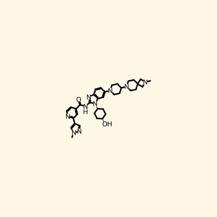 CN1CC2(CCN(C3CCN(c4ccc5nc(NC(=O)c6ccnc(-c7cnn(C)c7)c6)n([C@H]6CC[C@@H](O)CC6)c5c4)CC3)CC2)C1